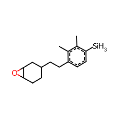 Cc1c([SiH3])ccc(CCC2CCC3OC3C2)c1C